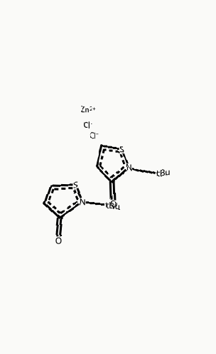 CC(C)(C)n1sccc1=O.CC(C)(C)n1sccc1=O.[Cl-].[Cl-].[Zn+2]